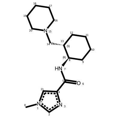 Cn1cnc(C(=O)N[C@@H]2CCCC[C@H]2CN2CCCCC2)c1